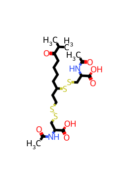 CC(=O)NC(CSSCCC(CCCCC(=O)C(C)C)SSCC(NC(C)=O)C(=O)O)C(=O)O